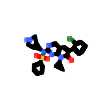 O=c1c(-c2ccccc2Cl)cc2cnc(N(C3C4CNCC43)S(=O)(=O)c3ccccc3)nc2n1C1CC1